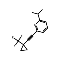 CC(C)c1cccc(C#CC2(C(F)(F)F)CC2)n1